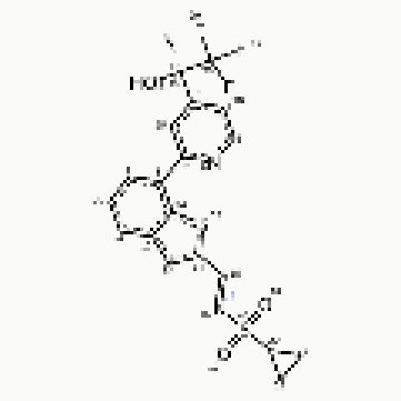 C[C@@](O)(c1ccnc(-c2cccc3cc(/C=N/S(=O)(=O)C4CC4)sc23)c1)C(F)(F)F